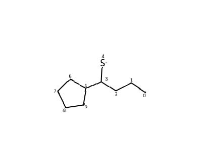 CCCC([S])C1CCCC1